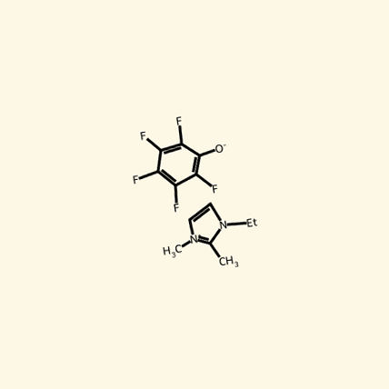 CCn1cc[n+](C)c1C.[O-]c1c(F)c(F)c(F)c(F)c1F